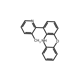 Cc1cccnc1-c1cccc2c1Nc1ccccc1O2